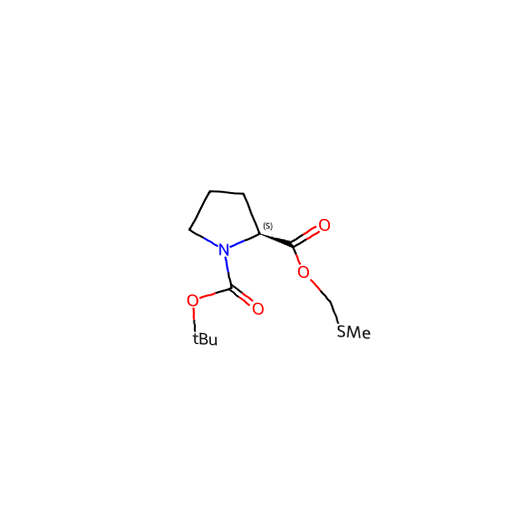 CSCOC(=O)[C@@H]1CCCN1C(=O)OC(C)(C)C